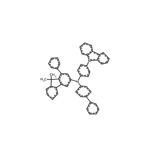 CC1(C)c2ccccc2-c2cc(N(c3ccc(-c4ccccc4)cc3)c3ccc(-n4c5ccccc5c5ccccc54)cc3)cc(-c3ccccc3)c21